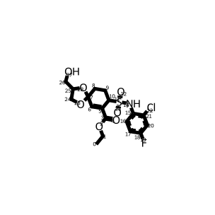 CCOC(=O)C1=CC2(CCC1S(=O)(=O)Nc1ccc(F)cc1Cl)OCC(CO)O2